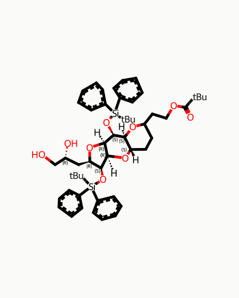 CC(C)(C)C(=O)OCCC1CC[C@@H]2O[C@@H]3[C@@H](O[C@H](C[C@@H](O)CO)[C@@H]3O[Si](c3ccccc3)(c3ccccc3)C(C)(C)C)[C@@H](O[Si](c3ccccc3)(c3ccccc3)C(C)(C)C)[C@H]2O1